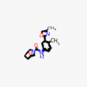 Cc1coc(-c2cc(NC(=O)N3CC4CCC(C3)O4)ccc2C)n1